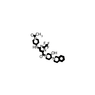 CC(=O)N1CCC(Nc2cc(C(=O)N3CC[C@@H](N4CCc5ccccc5C4)[C@H](O)C3)nc(C(F)(F)F)n2)CC1